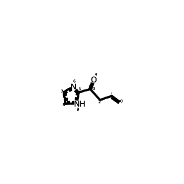 C=C[CH]C(=O)c1ncc[nH]1